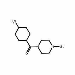 CC(C)(C)N1CCN(C(=O)C2CCC(N)CC2)CC1